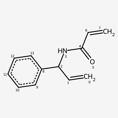 C=C[C](NC(=O)C=C)c1ccccc1